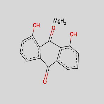 O=C1c2cccc(O)c2C(=O)c2c(O)cccc21.[MgH2]